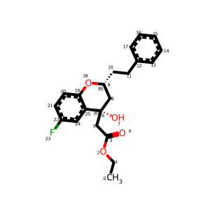 CCOC(=O)C[C@]1(O)C[C@@H](CCc2ccccc2)Oc2ccc(F)cc21